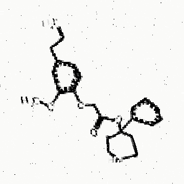 C=CCc1ccc(OCC(=O)OC2(c3ccccc3)CCNCC2)c(OC)c1